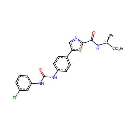 CC(C)[C@H](NC(=O)c1ncc(-c2ccc(NC(=O)Nc3cccc(Cl)c3)cc2)s1)C(=O)O